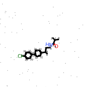 CC(C)C(=O)NCCC(C)c1ccc(-c2ccc(Cl)cc2)cc1